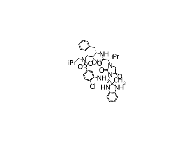 CC(C)CN(C[C@H](O)[C@H](Cc1ccccc1)NC(=O)[C@H](C(C)C)N1CC(=O)N(CC2(C)Nc3ccccc3N2)C1=O)S(=O)(=O)c1ccc(Cl)c(N)c1